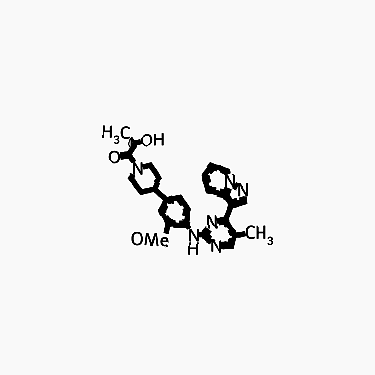 COc1cc(C2CCN(C(=O)[C@@H](C)O)CC2)ccc1Nc1ncc(C)c(-c2cnn3ccccc23)n1